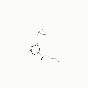 Cc1cc(B2OC(C)(C)C(C)(C)O2)cc(C(=O)NCCCO)c1C